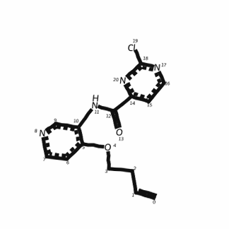 C=CCCOc1ccncc1NC(=O)c1ccnc(Cl)n1